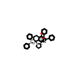 CC(C)(C)c1cccc2c1CCC[C@@]2(O[SiH](c1ccccc1)c1ccccc1)N1CCC[C@@H]1c1nc(-c2ccccc2)c(-c2ccccc2)o1